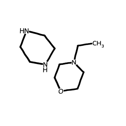 C1CNCCN1.CCN1CCOCC1